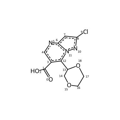 O=C(O)c1cnc2cc(Cl)nn2c1C1COCCO1